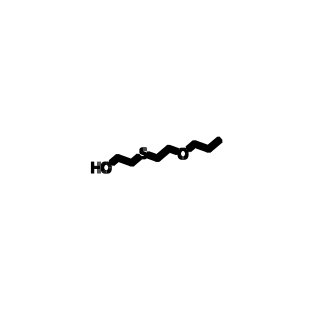 CCCOCCSCCO